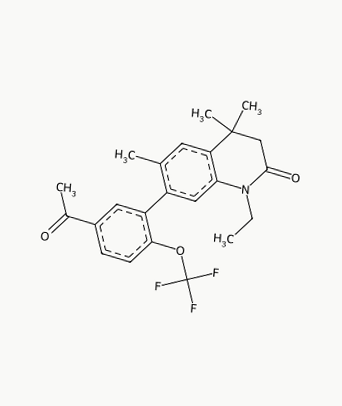 CCN1C(=O)CC(C)(C)c2cc(C)c(-c3cc(C(C)=O)ccc3OC(F)(F)F)cc21